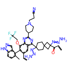 C=CC(=O)C1(N=NN)CC2(CCC(N=NN)(c3nc(C4CCN(CCC#N)CC4)nc4c(OCC(F)(F)F)c(-c5c(C)ccc6[nH]ncc56)c(C=C)cc34)CC2)C1